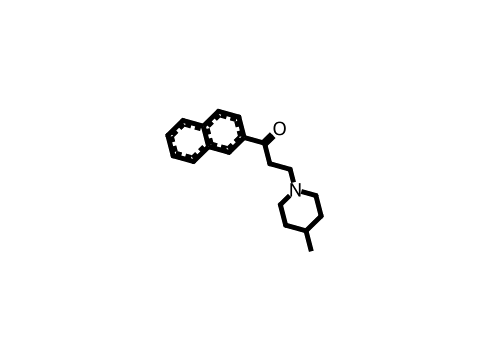 CC1CCN(CCC(=O)c2ccc3ccccc3c2)CC1